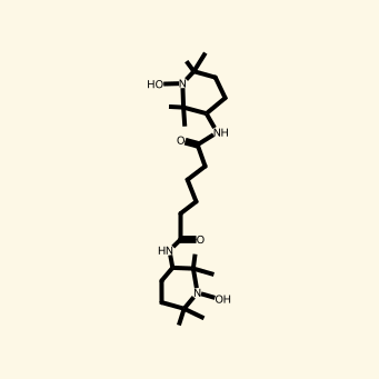 CC1(C)CCC(NC(=O)CCCCC(=O)NC2CCC(C)(C)N(O)C2(C)C)C(C)(C)N1O